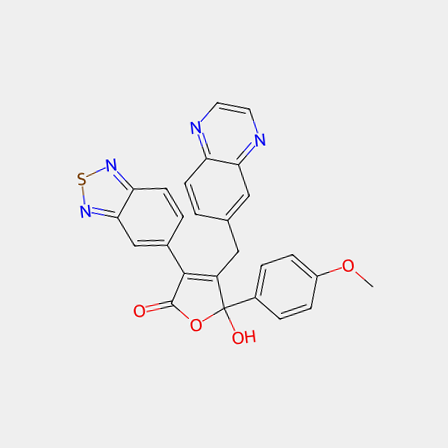 COc1ccc(C2(O)OC(=O)C(c3ccc4nsnc4c3)=C2Cc2ccc3nccnc3c2)cc1